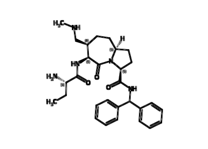 CC[C@H](N)C(=O)N[C@@H]1C(=O)N2[C@@H](CC[C@@H]1CNC)CC[C@H]2C(=O)NC(c1ccccc1)c1ccccc1